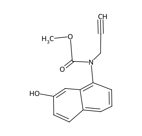 C#CCN(C(=O)OC)c1cccc2ccc(O)cc12